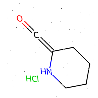 Cl.O=C=C1CCCCN1